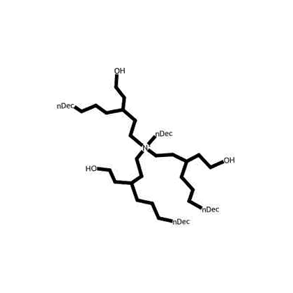 CCCCCCCCCCCCCC(CCO)CC[N+](CCCCCCCCCC)(CCC(CCO)CCCCCCCCCCCCC)CCC(CCO)CCCCCCCCCCCCC